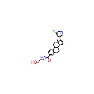 CC12CCC3c4ccc(C(=O)NCCCO)cc4CCC3C1CC=C2c1cncc(F)c1